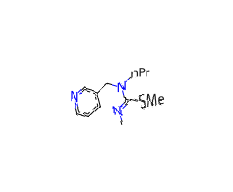 CCCN(Cc1cccnc1)C(=NC)SC